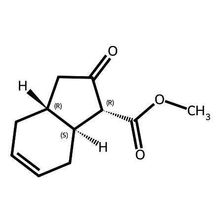 COC(=O)[C@H]1C(=O)C[C@H]2CC=CC[C@@H]21